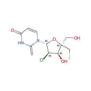 C=C1NC(=O)C=CN1[C@@H]1O[C@@](CO)(CF)[C@@H](O)[C@H]1Cl